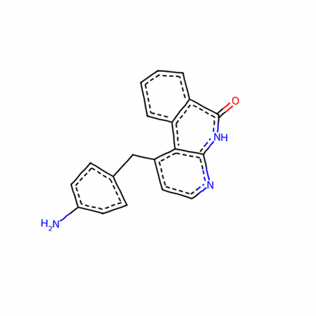 Nc1ccc(Cc2ccnc3[nH]c(=O)c4ccccc4c23)cc1